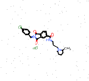 CC1CCCCN1CCCNC(=O)c1ccc2c(c1)C(=O)N(Cc1ccc(Cl)cc1)C2=O.Cl